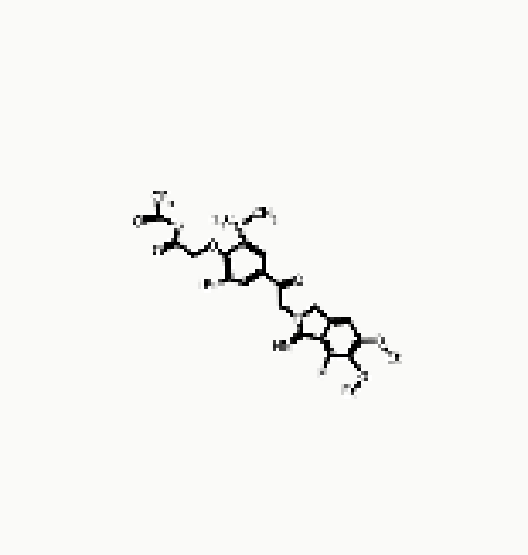 CCOc1cc2c(c(F)c1OCC)C(=N)N(CC(=O)c1cc(N(C)C)c(OCC(=O)OC(=O)C(F)(F)F)c(C(C)(C)C)c1)C2